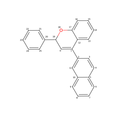 C1=C(c2ccc3ccccc3c2)c2ccccc2OC1c1ccccc1